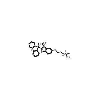 CCn1c(C(O)(c2ccccc2)c2ncccc2F)nc2ccc(CCCO[Si](C)(C)C(C)(C)C)cc21